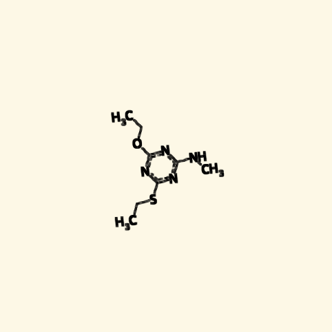 CCOc1nc(NC)nc(SCC)n1